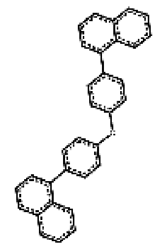 c1ccc2c(-c3ccc(Oc4ccc(-c5cccc6ccccc56)cc4)cc3)cccc2c1